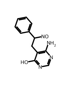 Nc1ncnc(O)c1CC(N=O)c1ccccc1